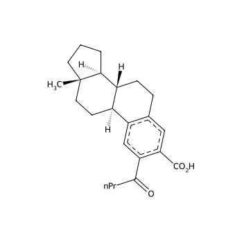 CCCC(=O)c1cc2c(cc1C(=O)O)CC[C@@H]1[C@@H]2CC[C@]2(C)CCC[C@@H]12